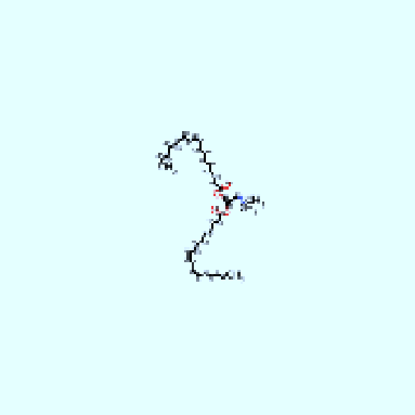 CCCCC/C=C\C/C=C\CCCCCCCC(=O)OC1C(CN(C)C)C1OC(=O)CCCCCCC/C=C\C/C=C\CCCCC